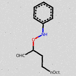 CCCCCCCCCCC(C=O)ONc1ccccc1